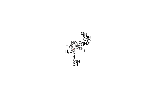 Cc1c(-c2ccc(N3CCc4cccc(C(=O)Nc5nc6ccccc6s5)c4C3)nc2C(=O)O)cnn1CC12CC3(C)CC(C)(C1)CC(OCCNCC[C@H](O)CO)(C3)C2